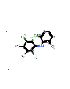 N#Cc1c(Cl)c(Cl)c(Nc2c(Cl)cccc2Cl)c(Cl)c1C#N